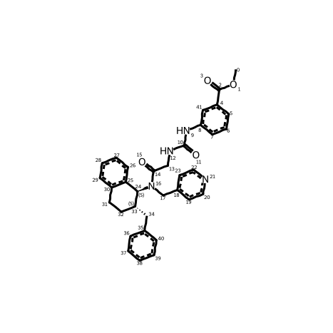 COC(=O)c1cccc(NC(=O)NCC(=O)N(Cc2ccncc2)[C@@H]2c3ccccc3CC[C@H]2Cc2ccccc2)c1